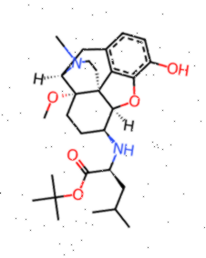 CO[C@@]12CC[C@H](N[C@@H](CC(C)C)C(=O)OC(C)(C)C)[C@@H]3Oc4c(O)ccc5c4[C@@]31CCN(C)[C@@H]2C5